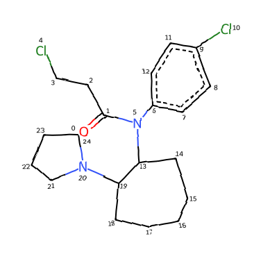 O=C(CCCl)N(c1ccc(Cl)cc1)C1CCCCCC1N1CCCC1